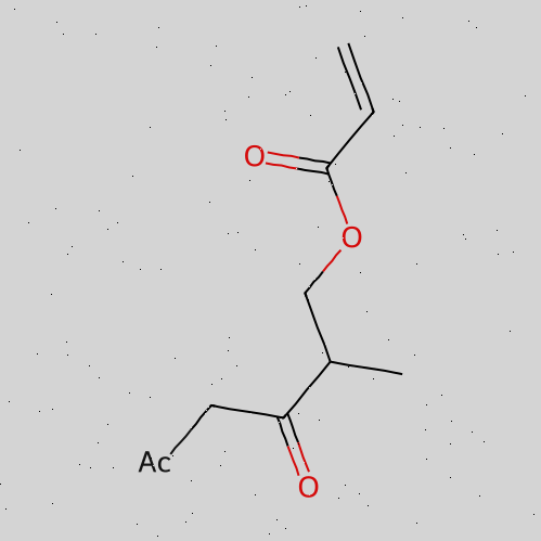 C=CC(=O)OCC(C)C(=O)CC(C)=O